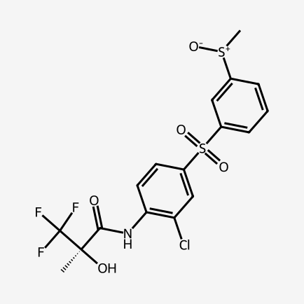 C[S+]([O-])c1cccc(S(=O)(=O)c2ccc(NC(=O)[C@@](C)(O)C(F)(F)F)c(Cl)c2)c1